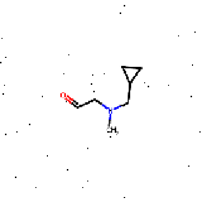 CN(CC=O)CC1CC1